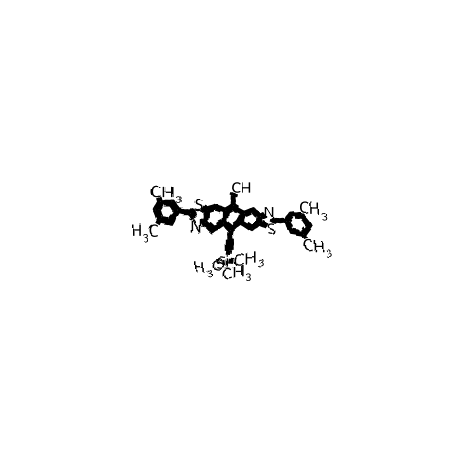 C#Cc1c2cc3nc(-c4cc(C)cc(C)c4)sc3cc2c(C#C[Si](C)(C)C)c2cc3nc(-c4cc(C)cc(C)c4)sc3cc12